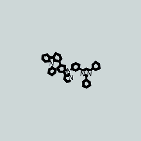 c1ccc(-c2cc(-c3cccc(-n4c5cc(-c6cccc7c8ccccc8n(-c8ccccc8)c67)ccc5c5cccnc54)c3)nc(-c3ccccc3)n2)cc1